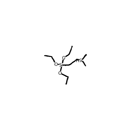 CCO[Si](CC[SiH](C)C)(OCC)OCC